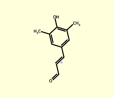 Cc1cc(/C=C/C=O)cc(C)c1O